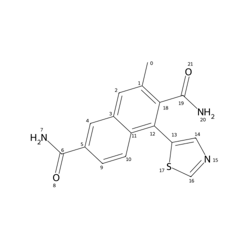 Cc1cc2cc(C(N)=O)ccc2c(-c2cncs2)c1C(N)=O